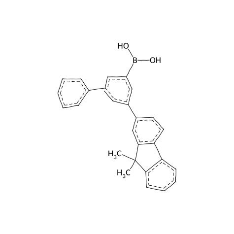 CC1(C)c2ccccc2-c2ccc(-c3cc(B(O)O)cc(-c4ccccc4)c3)cc21